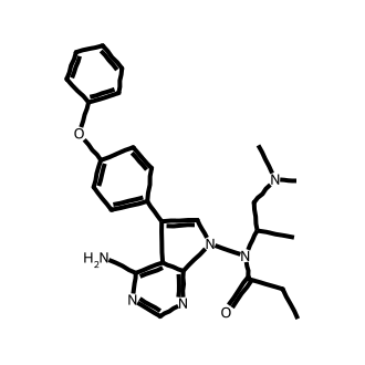 CCC(=O)N(C(C)CN(C)C)n1cc(-c2ccc(Oc3ccccc3)cc2)c2c(N)ncnc21